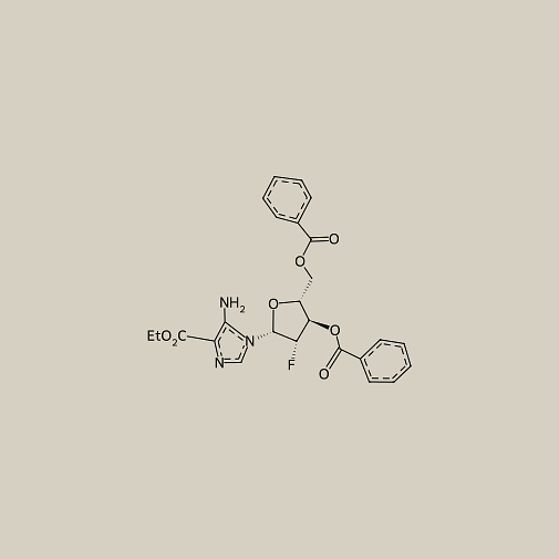 CCOC(=O)c1ncn([C@@H]2O[C@H](COC(=O)c3ccccc3)[C@@H](OC(=O)c3ccccc3)[C@@H]2F)c1N